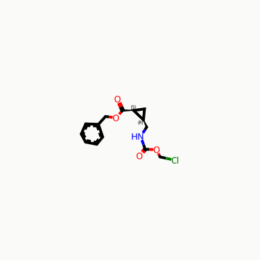 O=C(NC[C@@H]1C[C@@H]1C(=O)OCc1ccccc1)OCCl